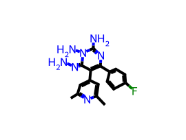 Cc1cc(-c2c(-c3ccc(F)cc3)nc(N)n(N)/c2=N\N)cc(C)n1